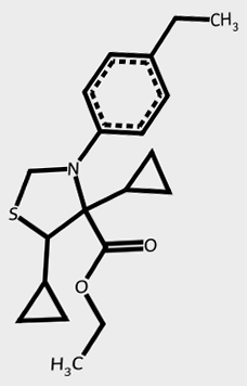 CCOC(=O)C1(C2CC2)C(C2CC2)SCN1c1ccc(CC)cc1